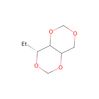 CC[C@H]1OCOC2COCOC21